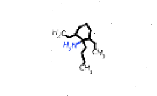 CCCCC1(N)C(CC)CCCC1CC